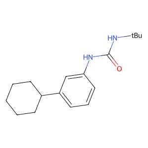 CC(C)(C)NC(=O)Nc1cccc(C2CCCCC2)c1